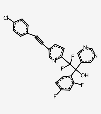 OC(c1cncnc1)(c1ccc(F)cc1F)C(F)(F)c1ccc(C#Cc2ccc(Cl)cc2)cn1